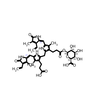 C=CC1=C(C)/C(=C\c2[nH]c(Cc3[nH]c(/C=C4/NC(=O)C(C)=C4C=C)c(C)c3CCC(=O)O[C@@H]3O[C@H](C(=O)O)[C@@H](O)[C@H](O)[C@H]3O)c(CCC(=O)O)c2C)NC1=O